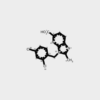 Cc1nc2ccc(C(=O)O)nc2n1Cc1ccc(Cl)cc1Cl